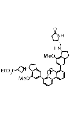 CCOC(=O)C1CN([C@@H]2CCc3cc(-c4cccc(-c5cccc(-c6cc7c(c(OC)c6)[C@H](NC[C@@H]6CCC(=O)N6)CC7)c5Cl)c4Cl)cc(OC)c32)C1